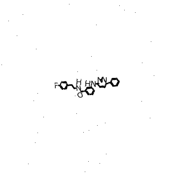 O=C(NCCc1ccc(F)cc1)c1cccc(Nc2ccc(-c3ccccc3)nn2)c1